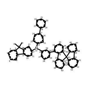 CC1(C)c2ccccc2-c2ccc(N(c3ccc(-c4ccccc4)cc3)c3cccc(-c4cccc5c4-c4ccccc4C54c5ccccc5-c5ccccc54)c3)cc21